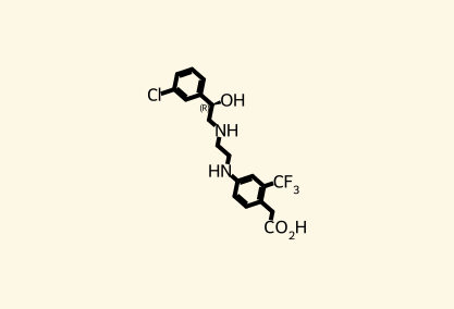 O=C(O)Cc1ccc(NCCNC[C@H](O)c2cccc(Cl)c2)cc1C(F)(F)F